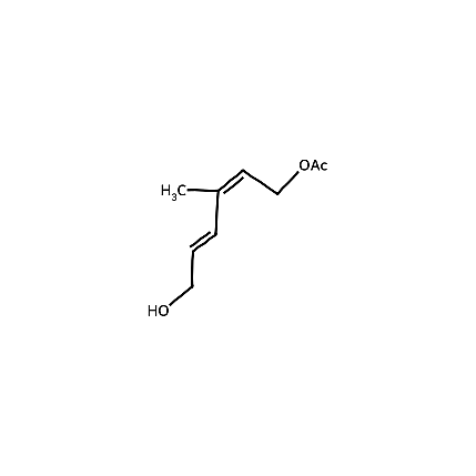 CC(=O)OCC=C(C)C=CCO